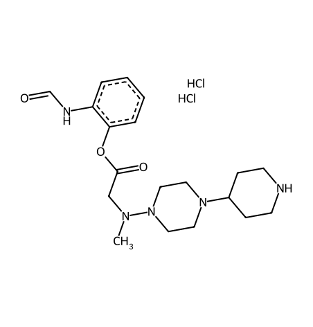 CN(CC(=O)Oc1ccccc1NC=O)N1CCN(C2CCNCC2)CC1.Cl.Cl